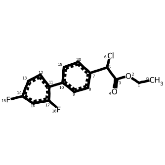 CCOC(=O)C(Cl)c1ccc(-c2ccc(F)cc2F)cc1